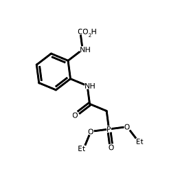 CCOP(=O)(CC(=O)Nc1ccccc1NC(=O)O)OCC